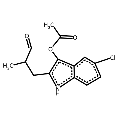 CC(=O)Oc1c(CC(C)C=O)[nH]c2ccc(Cl)cc12